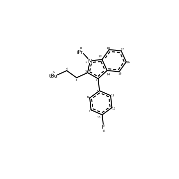 CC(C)n1c(CCC(C)(C)C)c(-c2ccc(F)cc2)c2ccccc21